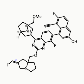 C#Cc1c(F)ccc2cc(O)cc(-c3ccc4c(N5C[C@@H]6CC[C@](COC)(C5)N6)nc(OCC56CCCN5C/C(=C\F)C6)nc4c3F)c12